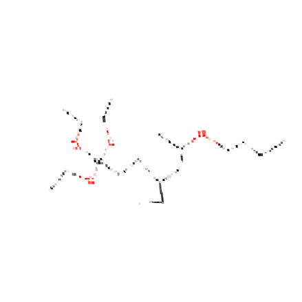 CCCCOC(C)CC(CC)CC[Si](OCC)(OCC)OCC